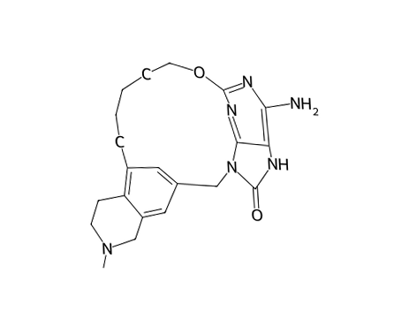 CN1CCc2c3cc(cc2C1)Cn1c(=O)[nH]c2c(N)nc(nc21)OCCCCC3